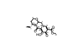 C=C[C@@H]1CCOC2Cn3cc(C(=O)OC)c(=O)c(O)c3C(=O)N21